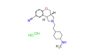 CNC1CCC(CCN2C[C@H]3COc4ccc(C#N)cc4[C@@H]3C2)CC1.Cl.Cl